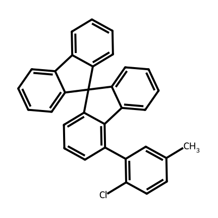 Cc1ccc(Cl)c(-c2cccc3c2-c2ccccc2C32c3ccccc3-c3ccccc32)c1